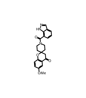 COc1ccc2c(c1)C(=O)CC1(CCN(C(=O)c3cccc4cn[nH]c34)CC1)O2